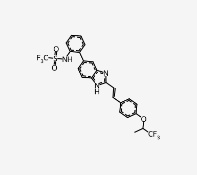 CC(Oc1ccc(/C=C/c2nc3cc(-c4ccccc4NS(=O)(=O)C(F)(F)F)ccc3[nH]2)cc1)C(F)(F)F